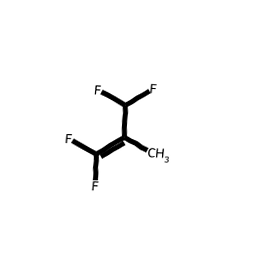 CC(=C(F)F)C(F)F